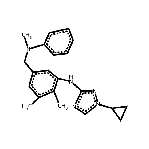 Cc1cc(CN(C)c2ccccc2)cc(Nc2ncn(C3CC3)n2)c1C